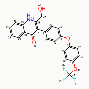 O=c1c(-c2ccc(Oc3ccc(OC(F)(F)F)cc3)cc2)c(CO)[nH]c2ccccc12